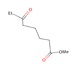 CCC(=O)CCCCC(=O)OC